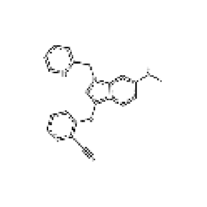 CNc1ccc2c(Sc3ccccc3C#N)cn(Cc3ccccn3)c2c1